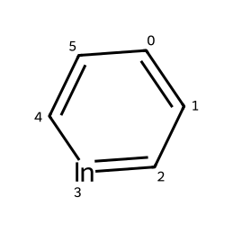 C1=C[CH]=[In][CH]=C1